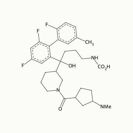 CNC1CCC(C(=O)N2CCCC(C(O)(CCCNC(=O)O)c3cc(F)cc(F)c3-c3cc(C)ccc3F)C2)C1